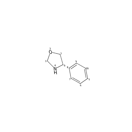 C1COCN1.c1ccccc1